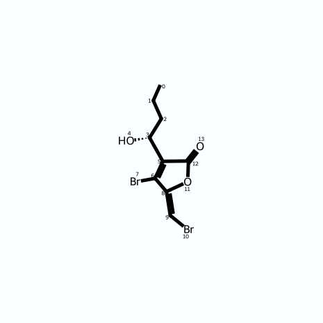 CCC[C@@H](O)C1=C(Br)/C(=C/Br)OC1=O